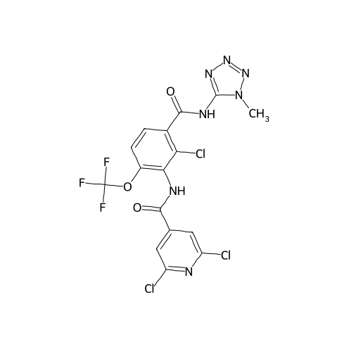 Cn1nnnc1NC(=O)c1ccc(OC(F)(F)F)c(NC(=O)c2cc(Cl)nc(Cl)c2)c1Cl